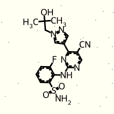 CC(C)(O)Cn1cc(-c2nc(Nc3c(F)cccc3S(N)(=O)=O)ncc2C#N)cn1